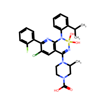 CC(C)c1ccccc1N1c2nc(-c3ccccc3F)c(Cl)cc2C(N2CCN(C(=O)O)CC2C)=NS1(O)O